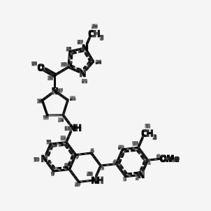 COc1ncc(C2Cc3c(cncc3NC3CCN(C(=O)c4cn(C)cn4)C3)CN2)cc1C